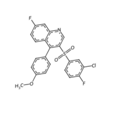 COc1ccc(-c2c(S(=O)(=O)c3ccc(F)c(Cl)c3)cnc3cc(F)ccc23)cc1